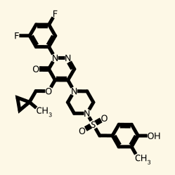 Cc1cc(CS(=O)(=O)N2CCN(c3cnn(-c4cc(F)cc(F)c4)c(=O)c3OCC3(C)CC3)CC2)ccc1O